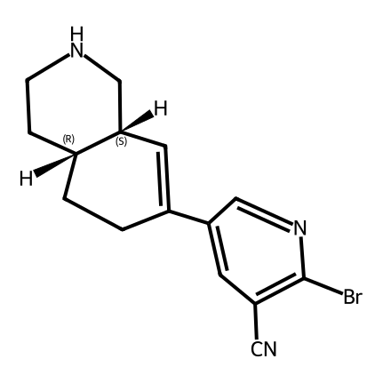 N#Cc1cc(C2=C[C@H]3CNCC[C@H]3CC2)cnc1Br